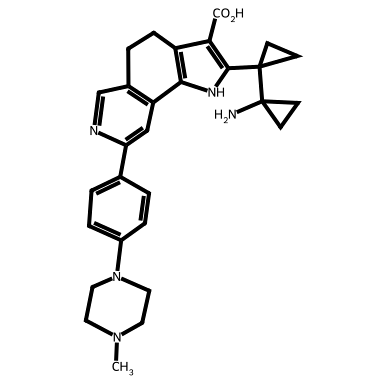 CN1CCN(c2ccc(-c3cc4c(cn3)CCc3c-4[nH]c(C4(C5(N)CC5)CC4)c3C(=O)O)cc2)CC1